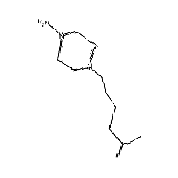 CC(C)CCCCN1CCN(N)CC1